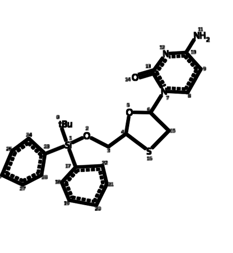 CC(C)(C)[Si](OCC1OC(n2ccc(N)nc2=O)CS1)(c1ccccc1)c1ccccc1